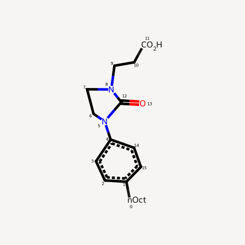 CCCCCCCCc1ccc(N2CCN(CCC(=O)O)C2=O)cc1